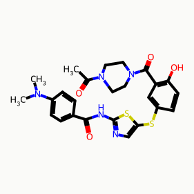 CC(=O)N1CCN(C(=O)c2cc(Sc3cnc(NC(=O)c4ccc(N(C)C)cc4)s3)ccc2O)CC1